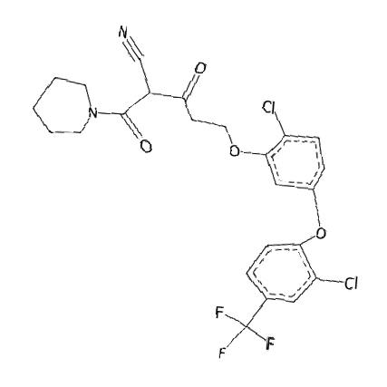 N#CC(C(=O)CCOc1cc(Oc2ccc(C(F)(F)F)cc2Cl)ccc1Cl)C(=O)N1CCCCC1